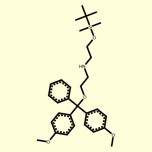 COc1ccc(C(OCCNCCO[Si](C)(C)C(C)(C)C)(c2ccccc2)c2ccc(OC)cc2)cc1